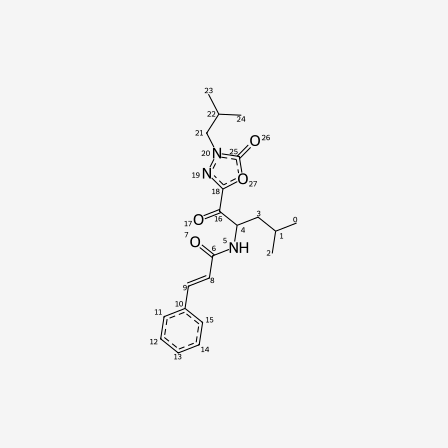 CC(C)CC(NC(=O)/C=C/c1ccccc1)C(=O)c1nn(CC(C)C)c(=O)o1